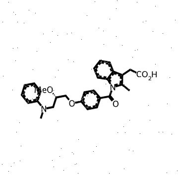 CO[C@H](COc1ccc(C(=O)n2c(C)c(CC(=O)O)c3ccccc32)cc1)CN(C)c1ccccc1